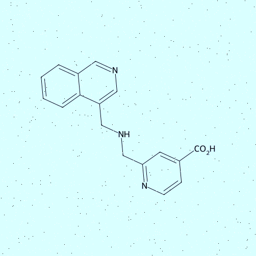 O=C(O)c1ccnc(CNCc2cncc3ccccc23)c1